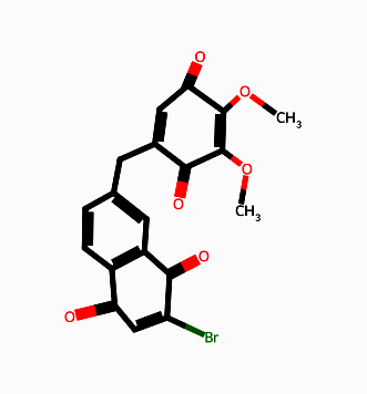 COC1=C(OC)C(=O)C(Cc2ccc3c(c2)C(=O)C(Br)=CC3=O)=CC1=O